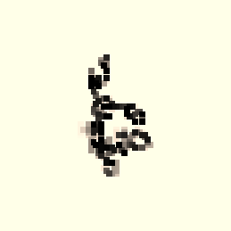 CN1CCN(Cc2cc3cc(c2)Nc2ncc(Cl)c(n2)Nc2cccc(c2)OCC3)CC1